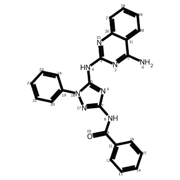 Nc1nc(Nc2nc(NC(=O)c3ccccc3)nn2-c2ccccc2)nc2ccccc12